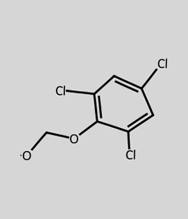 [O]COc1c(Cl)cc(Cl)cc1Cl